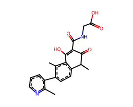 Cc1ncccc1-c1ccc2c(c1C)C(O)=C(C(=O)NCC(=O)O)C(=O)C2C